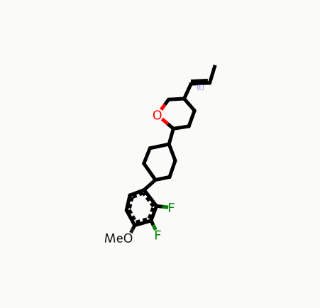 C/C=C/C1CCC(C2CCC(c3ccc(OC)c(F)c3F)CC2)OC1